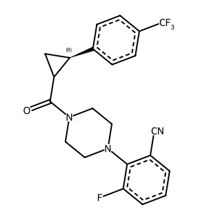 N#Cc1cccc(F)c1N1CCN(C(=O)C2C[C@H]2c2ccc(C(F)(F)F)cc2)CC1